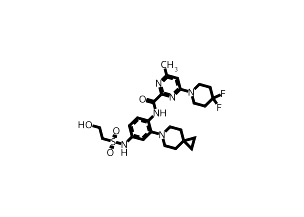 Cc1cc(N2CCC(F)(F)CC2)nc(C(=O)Nc2ccc(NS(=O)(=O)CCO)cc2N2CCC3(CC2)CC3)n1